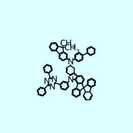 CC1(C)c2ccccc2-c2ccc(N(c3ccc(-c4ccccc4)cc3)C3C=Cc4c(c5ccc6c(c5n4-c4cccc(-c5nc(-c7ccccc7)nc(-c7ccccc7)n5)c4)-c4ccccc4C64c5ccccc5C5C=CC=CC54)C3)cc21